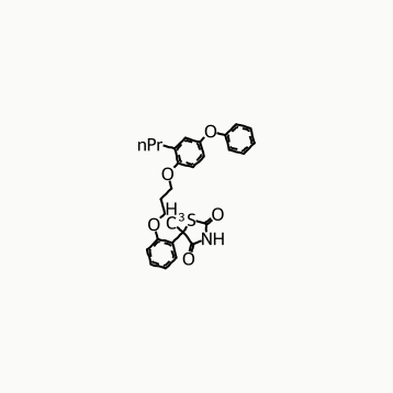 CCCc1cc(Oc2ccccc2)ccc1OCCCOc1ccccc1C1(C)SC(=O)NC1=O